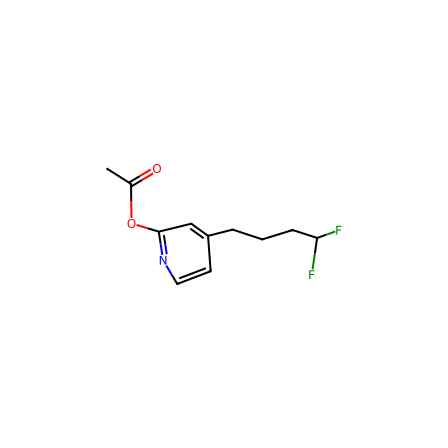 CC(=O)Oc1cc(CCCC(F)F)ccn1